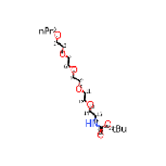 CCCOCCOCCOCCOCCOCCNC(=O)OC(C)(C)C